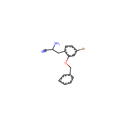 N#CC(N)Cc1ccc(Br)cc1OCc1ccccc1